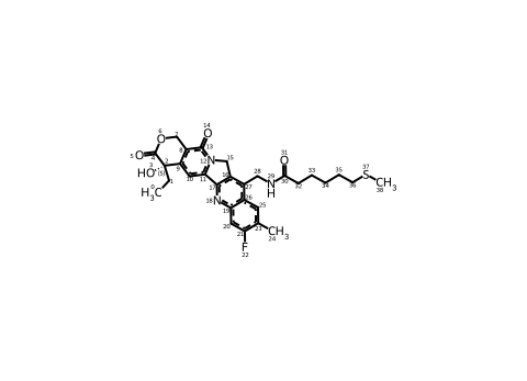 CC[C@@]1(O)C(=O)OCc2c1cc1n(c2=O)Cc2c-1nc1cc(F)c(C)cc1c2CNC(=O)CCCCCSC